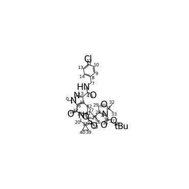 Cn1nc(C(=O)NCc2ccc(Cl)cc2)c2c1C(=O)N(CC1(S(=O)(=O)C(C)(C)[C@H]3COC(C)(C)N3C(=O)OC(C)(C)C)CC1)CC2